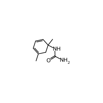 CC1=CC=CC(C)(NC(N)=O)C1